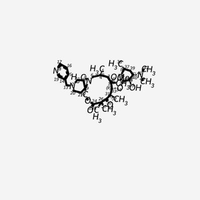 CO[C@]1(C)C[C@@H](C)CN(C)C2(CCN(Cc3cccnc3)CC2)COC(=O)C(C)(C)C(=O)[C@H](C)[C@H]1O[C@@H]1O[C@H](C)C[C@H](N(C)C)[C@H]1O